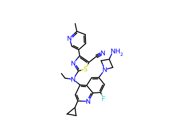 CCN(c1nc(-c2ccc(C)nc2)c(C#N)s1)c1cc(C2CC2)nc2c(F)cc(N3CC(N)C3)cc12